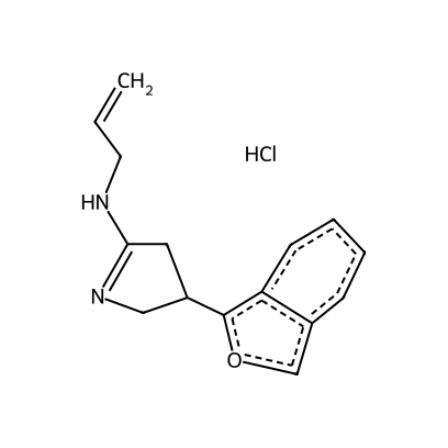 C=CCNC1=NCC(c2occ3ccccc23)C1.Cl